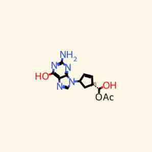 CC(=O)OC(O)[C@H]1C=CC(n2cnc3c(O)nc(N)nc32)C1